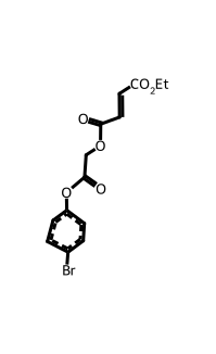 CCOC(=O)/C=C/C(=O)OCC(=O)Oc1ccc(Br)cc1